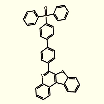 O=P(c1ccccc1)(c1ccccc1)c1ccc(-c2ccc(-c3nc4ccccc4c4c3sc3ccccc34)cc2)cc1